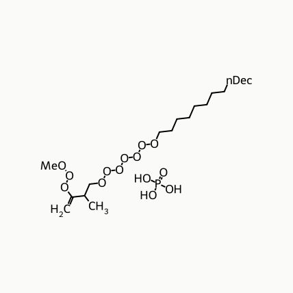 C=C(OOOC)C(C)COOOOOOOCCCCCCCCCCCCCCCCCC.O=P(O)(O)O